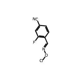 N#Cc1ccc(/C=N/OCl)c(F)c1